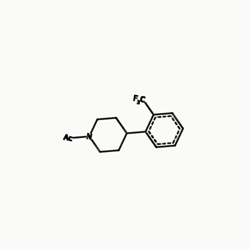 CC(=O)N1CCC(c2ccccc2C(F)(F)F)CC1